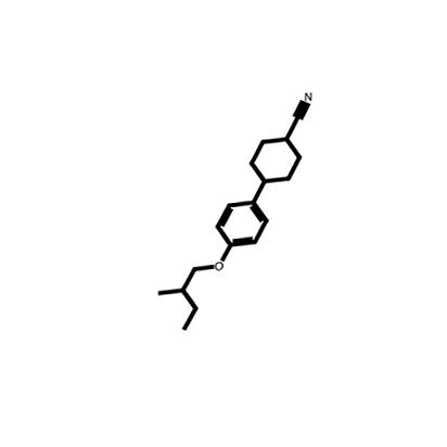 CCC(C)COc1ccc(C2CCC(C#N)CC2)cc1